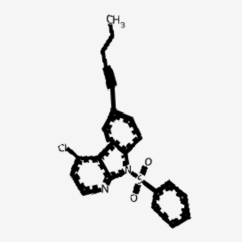 CCCC#Cc1ccc2c(c1)c1c(Cl)ccnc1n2S(=O)(=O)c1ccccc1